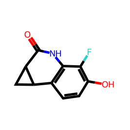 O=C1Nc2c(ccc(O)c2F)C2CC12